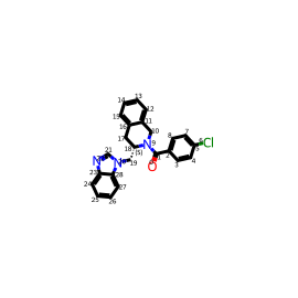 O=C(c1ccc(Cl)cc1)N1Cc2ccccc2C[C@H]1Cn1cnc2ccccc21